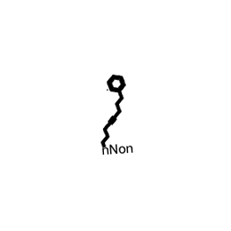 CCCCCCCCCCCCC#CCCCc1[c]cccc1